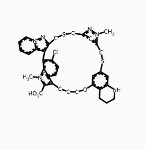 Cn1nc2cc1CSc1cc3c(c(c1)OCCCc1c(C(=O)O)n(C)c4c(c(Cl)ccc14)-c1c(nn4ccccc14)CSC2)CCCN3